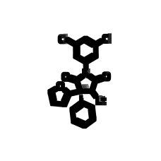 CCC1C(=O)N(c2cc(Cl)cc(Cl)c2)C(=O)[C@]1(c1ccccc1)c1ccco1